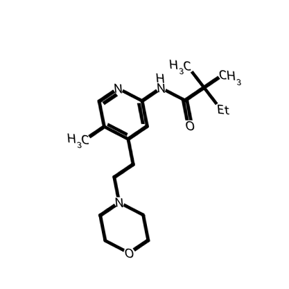 CCC(C)(C)C(=O)Nc1cc(CCN2CCOCC2)c(C)cn1